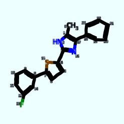 Cc1[nH]c(-c2ccc(-c3cccc(F)c3)s2)nc1-c1ccccc1